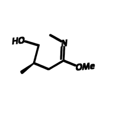 C/N=C(\C[C@@H](C)CO)OC